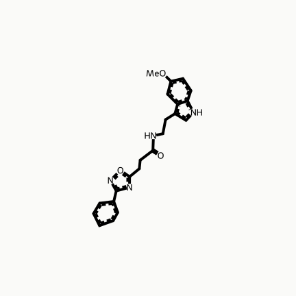 COc1ccc2[nH]cc(CCNC(=O)CCc3nc(-c4ccccc4)no3)c2c1